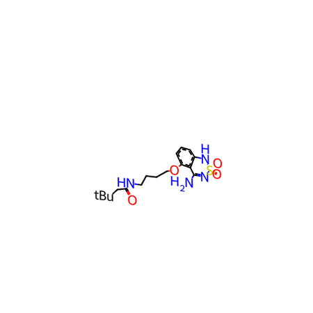 CC(C)(C)CC(=O)NCCCCOc1cccc2c1C(N)=NS(=O)(=O)N2